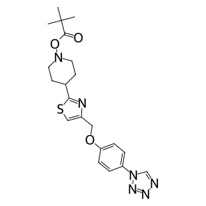 CC(C)(C)C(=O)ON1CCC(c2nc(COc3ccc(-n4cnnn4)cc3)cs2)CC1